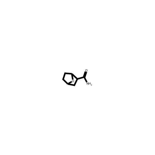 NC(=O)C1CC2CCC1O2